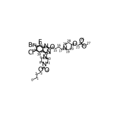 CCCCOC(=O)N1CCN(c2nc(OCCCN3CCC(OCC(=O)OC)CC3)nc3c(F)c(Br)c(Cl)cc23)CC1